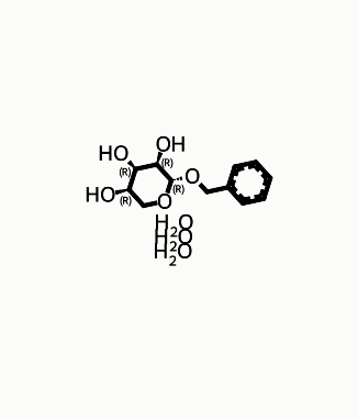 O.O.O.O[C@H]1[C@H](OCc2ccccc2)OC[C@@H](O)[C@H]1O